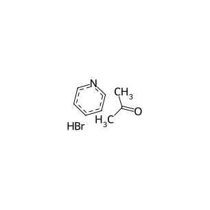 Br.CC(C)=O.c1ccncc1